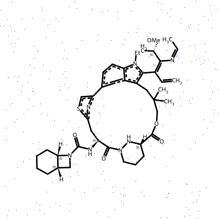 C=C/C(=C(\N=C/C)[C@H](C)OC)c1c2c3cc(ccc3n1CC)-c1csc(n1)C[C@H](NC(=O)N1C[C@@H]3CCCC[C@@H]31)C(=O)N1CCC[C@H](N1)C(=O)OCC(C)(C)C2